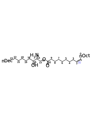 CCCCCCCC/C=C\CCCCCCCC(=O)OCC(N)C(O)CCCCCCCCCCCCCCC